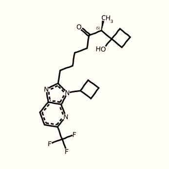 C[C@H](C(=O)CCCCc1nc2ccc(C(F)(F)F)nc2n1C1CCC1)C1(O)CCC1